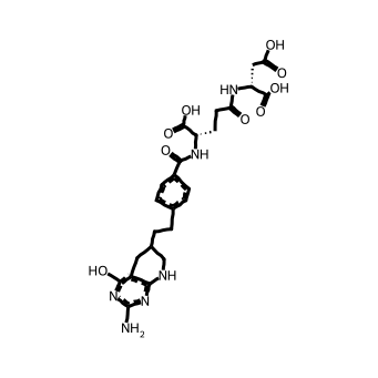 Nc1nc(O)c2c(n1)NCC(CCc1ccc(C(=O)N[C@@H](CCC(=O)N[C@H](CC(=O)O)C(=O)O)C(=O)O)cc1)C2